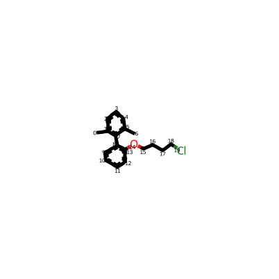 Cc1cccc(C)c1-c1ccccc1OCCCCCl